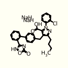 CCCCc1nn(-c2ccccc2Cl)c(C(=O)O)c1Cc1ccc(-c2ccccc2-c2nc(=O)o[nH]2)cc1.[NaH].[NaH]